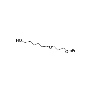 CCCOCCCOCCCCCCO